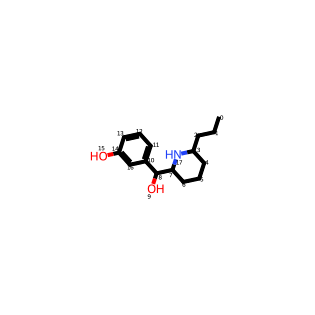 CCCC1CCCC(C(O)c2cccc(O)c2)N1